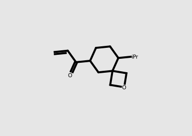 C=CC(=O)C1CCC(C(C)C)C2(COC2)C1